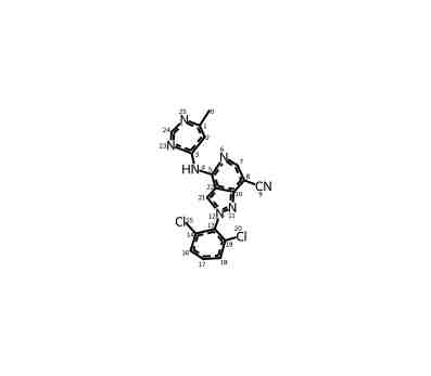 Cc1cc(Nc2ncc(C#N)c3nn(-c4c(Cl)cccc4Cl)cc23)ncn1